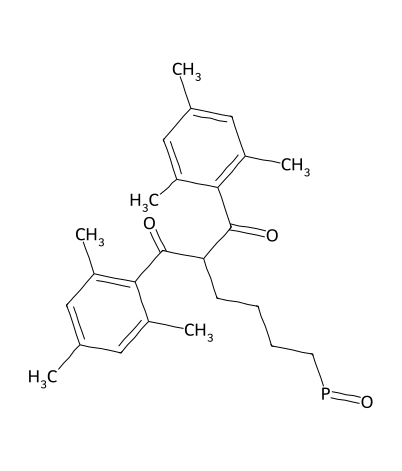 Cc1cc(C)c(C(=O)C(CCCCP=O)C(=O)c2c(C)cc(C)cc2C)c(C)c1